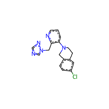 Clc1ccc2c(c1)CCN(c1cccnc1Cn1cncn1)C2